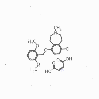 COc1cccc(OC)c1COc1ccc(Cl)c2c1CCN(C)CC2.O=C(O)/C=C\C(=O)O